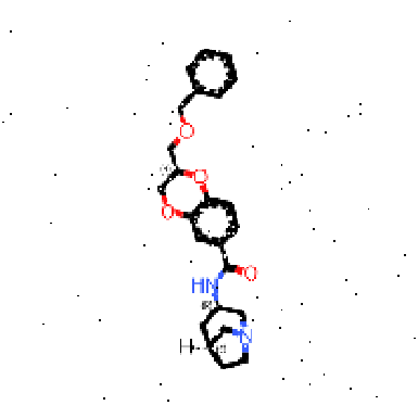 O=C(N[C@@H]1C[C@@H]2CCN(C2)C1)c1ccc2c(c1)OC[C@@H](COCc1ccccc1)O2